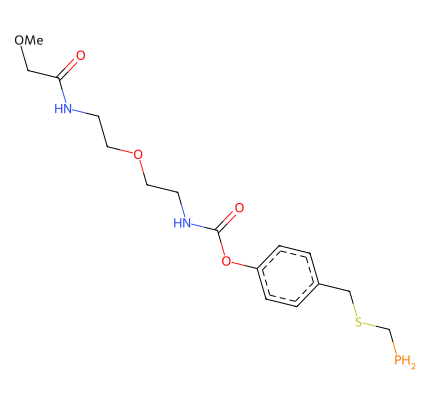 COCC(=O)NCCOCCNC(=O)Oc1ccc(CSCP)cc1